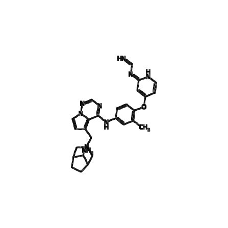 Cc1cc(Nc2ncnn3ccc(CN4CC5CCC(C4)C5N)c23)ccc1Oc1cc[nH]/c(=N\C=N)c1